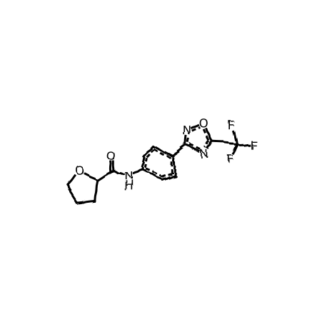 O=C(Nc1ccc(-c2noc(C(F)(F)F)n2)cc1)C1CCCO1